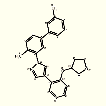 Cc1ccc(-c2cccc(C(F)(F)F)c2)cc1-n1cc(-c2cnccc2OC2CCOC2)cn1